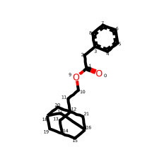 O=C(Cc1ccccc1)OCCC12CC3CC(CC(C3)C1)C2